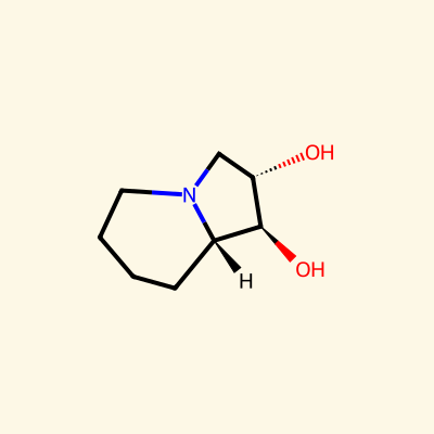 O[C@@H]1[C@@H](O)CN2CCCC[C@@H]12